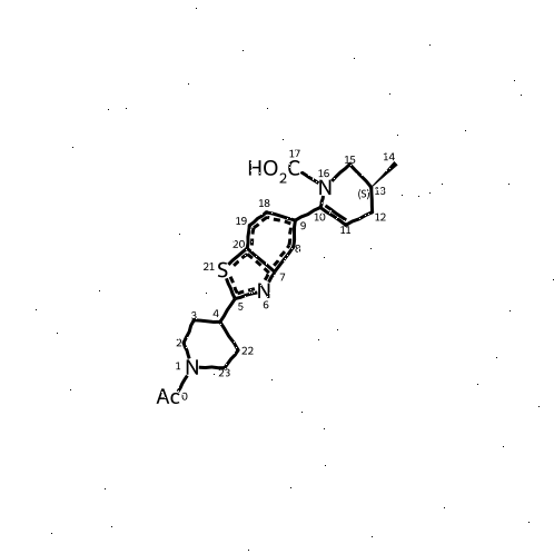 CC(=O)N1CCC(c2nc3cc(C4=CC[C@H](C)CN4C(=O)O)ccc3s2)CC1